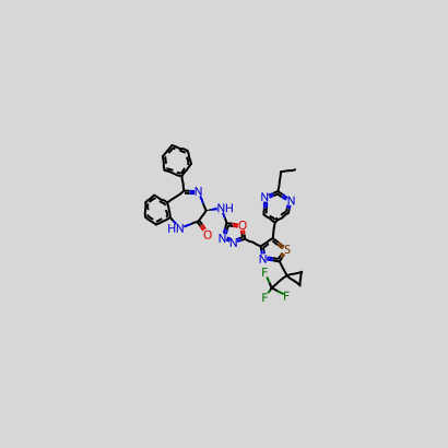 CCc1ncc(-c2sc(C3(C(F)(F)F)CC3)nc2-c2nnc(N[C@@H]3N=C(c4ccccc4)c4ccccc4NC3=O)o2)cn1